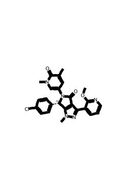 COc1ncccc1-c1nn(C)c2c1C(=O)N(c1cc(C)c(=O)n(C)c1)[C@H]2c1ccc(Cl)cc1